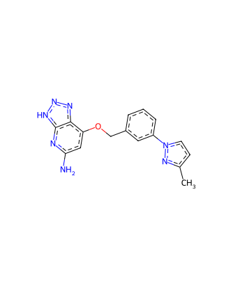 Cc1ccn(-c2cccc(COc3cc(N)nc4[nH]nnc34)c2)n1